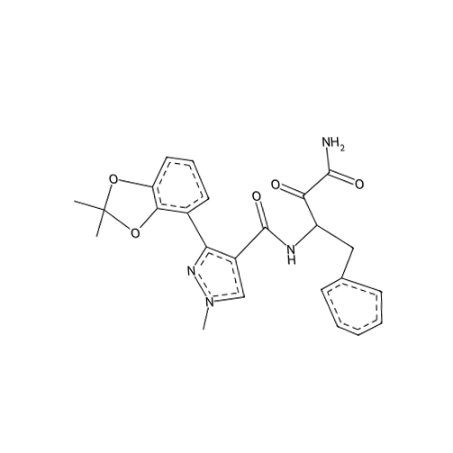 Cn1cc(C(=O)NC(Cc2ccccc2)C(=O)C(N)=O)c(-c2cccc3c2OC(C)(C)O3)n1